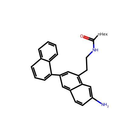 CCCCCCC(=O)NCCc1cc(-c2cccc3ccccc23)cc2ccc(N)cc12